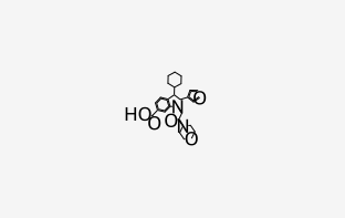 O=C(O)c1ccc2c(c1)N(CC(=O)N1CCOCC1)C(c1ccoc1)C2C1CCCCC1